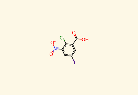 O=C(O)c1cc(I)cc([N+](=O)[O-])c1Cl